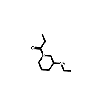 CCNC1CCCN(C(=O)CC)C1